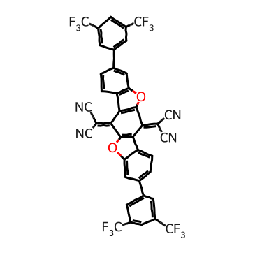 N#CC(C#N)=c1c2oc3cc(-c4cc(C(F)(F)F)cc(C(F)(F)F)c4)ccc3c2c(=C(C#N)C#N)c2oc3cc(-c4cc(C(F)(F)F)cc(C(F)(F)F)c4)ccc3c12